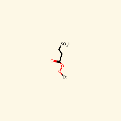 C[CH]OOC(=O)CCS(=O)(=O)O